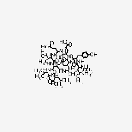 C=C(N)NCCCC(NC(=O)C(NC(=O)C(CCC(=O)O)NC(=O)C(CCC(=O)O)NC(=O)C(CCC(=O)O)NC(=O)C(Cc1ccc(O)cc1)NC(=O)C(CC(C)C)NC)C(C)CC)C(=O)NC(C(=O)NC(CC(C)C)C(C)=O)C(C)C